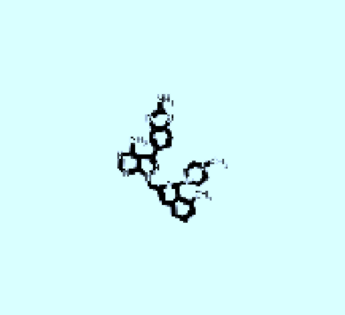 Cc1cccc2cc(Cn3nc(-c4ccc5oc(N)nc5c4)c4c(N)ncnc43)nc(N3CCN(C)CC3)c12